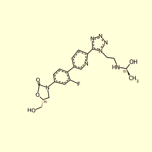 C[C@H](O)NCCn1nnnc1-c1ccc(-c2ccc(N3C[C@H](CO)OC3=O)cc2F)cn1